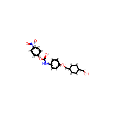 O=C(Nc1ccc(OCC2CCC(CO)CC2)cc1)Oc1ccc([N+](=O)[O-])cc1